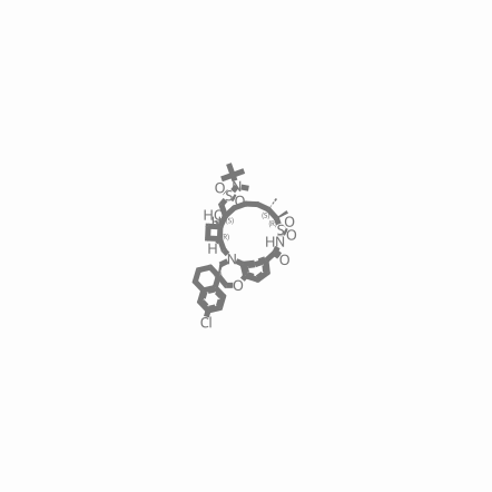 C[C@@H]1[C@@H](C)CCC[C@@](O)(CS(=O)(=O)N(C)C(C)(C)C)[C@@H]2CC[C@H]2CN2C[C@@]3(CCCc4cc(Cl)ccc43)COc3ccc(cc32)C(=O)NS1(=O)=O